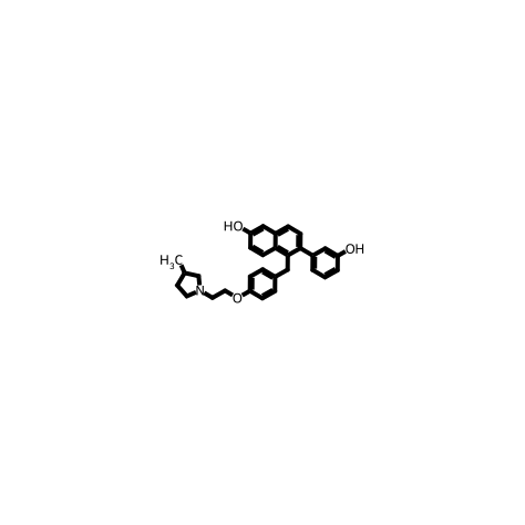 CC1CCN(CCOc2ccc(Cc3c(-c4cccc(O)c4)ccc4cc(O)ccc34)cc2)C1